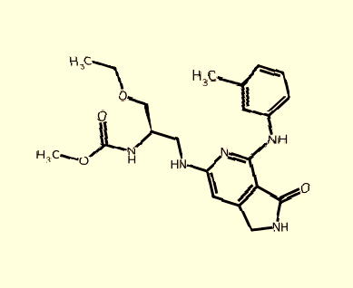 CCOC[C@@H](CNc1cc2c(c(Nc3cccc(C)c3)n1)C(=O)NC2)NC(=O)OC